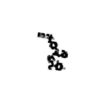 Cc1ccc(C(=O)c2noc(CN(Cc3ccc(SC(C)(C)C(=O)O)cc3)Cc3ccco3)n2)c(C)c1